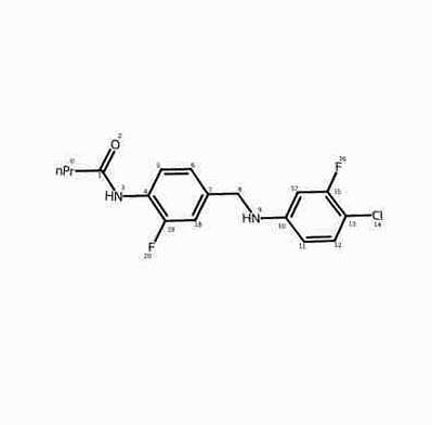 CCCC(=O)Nc1ccc(CNc2ccc(Cl)c(F)c2)cc1F